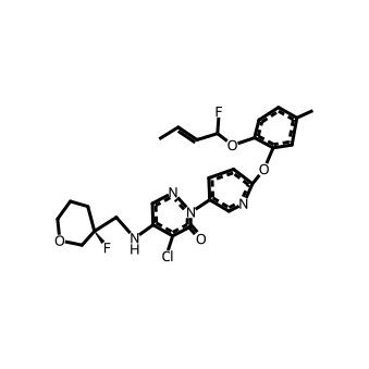 C/C=C/C(F)Oc1ccc(C)cc1Oc1ccc(-n2ncc(NC[C@@]3(F)CCCOC3)c(Cl)c2=O)cn1